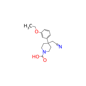 CCOc1cccc(C2(CC#N)CCN(C(=O)O)CC2)c1